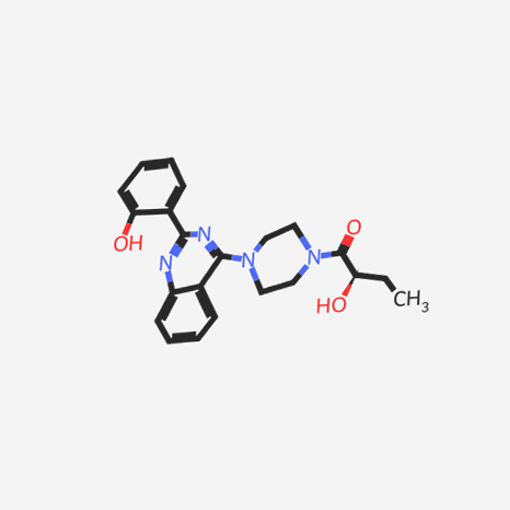 CC[C@@H](O)C(=O)N1CCN(c2nc(-c3ccccc3O)nc3ccccc23)CC1